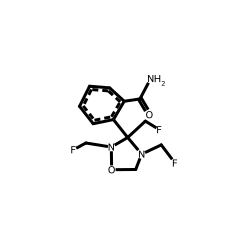 NC(=O)c1ccccc1C1(CF)N(CF)CON1CF